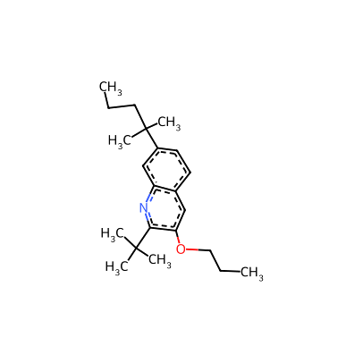 CCCOc1cc2ccc(C(C)(C)CCC)cc2nc1C(C)(C)C